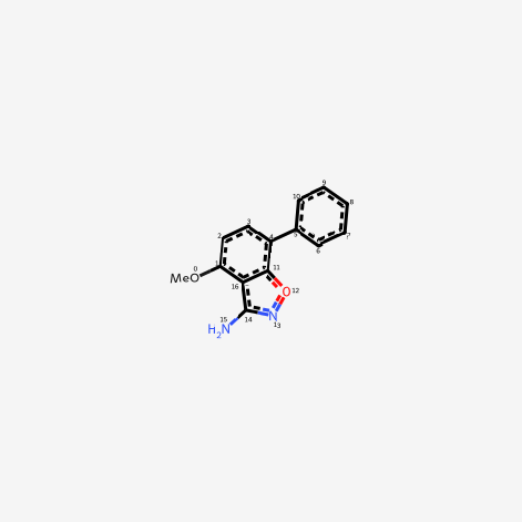 COc1ccc(-c2ccccc2)c2onc(N)c12